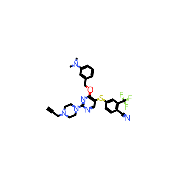 C#CCN1CCN(c2ncc(Sc3ccc(C#N)c(C(F)(F)F)c3)c(OCc3cccc(N(C)C)c3)n2)CC1